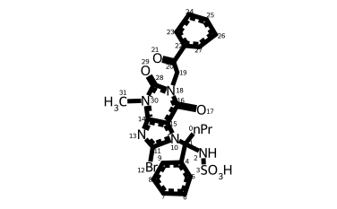 CCCC(NS(=O)(=O)O)(c1ccccc1)n1c(Br)nc2c1c(=O)n(CC(=O)c1ccccc1)c(=O)n2C